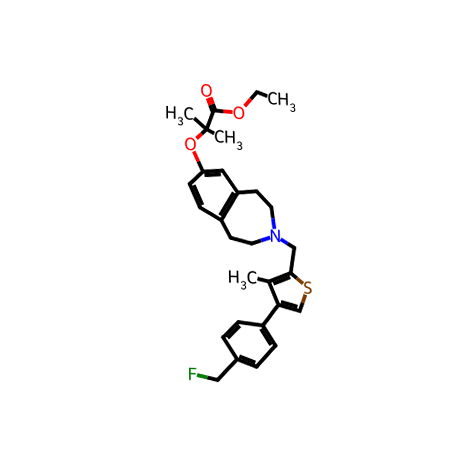 CCOC(=O)C(C)(C)Oc1ccc2c(c1)CCN(Cc1scc(-c3ccc(CF)cc3)c1C)CC2